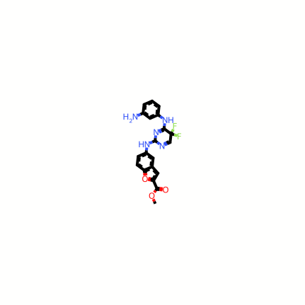 COC(=O)c1cc2cc(NC3N=CC(F)(F)C(Nc4cccc(N)c4)=N3)ccc2o1